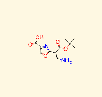 CC(C)(C)OC(=O)[C@@H](CN)c1nc(C(=O)O)co1